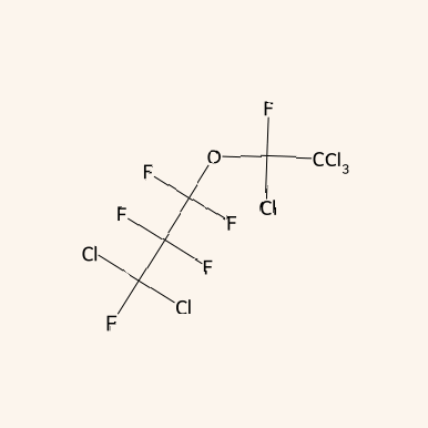 FC(Cl)(Cl)C(F)(F)C(F)(F)OC(F)(Cl)C(Cl)(Cl)Cl